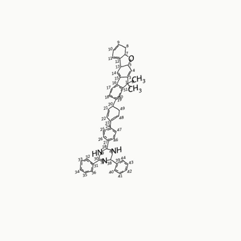 CC1(C)C2=CC3OC4CC=CC=C4C3C=C2c2ccc(C3C=CC(c4ccc(C5NC(c6ccccc6)=NC(c6ccccc6)N5)cc4)=CC3)cc21